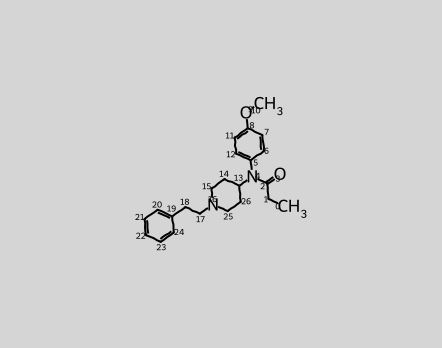 CCC(=O)N(c1ccc(OC)cc1)C1CCN(CCc2ccccc2)CC1